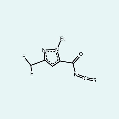 CCn1nc(C(F)F)cc1C(=O)N=C=S